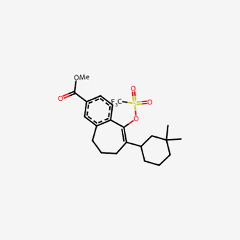 COC(=O)c1ccc2c(c1)CCCC(C1CCCC(C)(C)C1)=C2OS(=O)(=O)C(F)(F)F